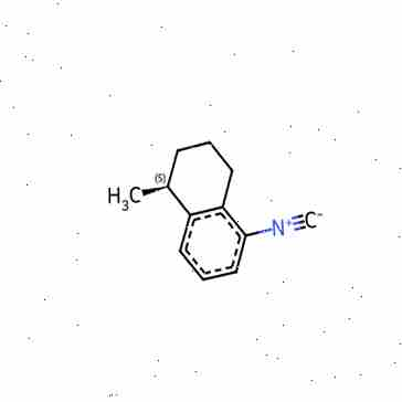 [C-]#[N+]c1cccc2c1CCC[C@@H]2C